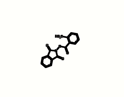 O=C(O)c1ccccc1C(=O)ON1C(=O)c2ccccc2C1=O